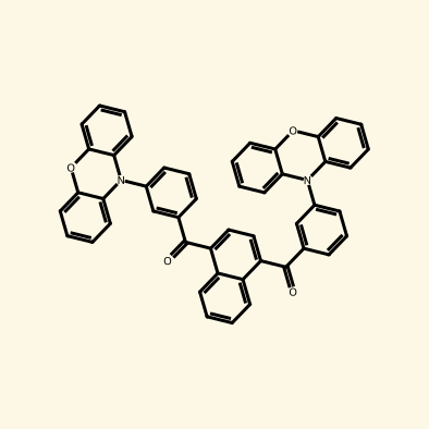 O=C(c1cccc(N2c3ccccc3Oc3ccccc32)c1)c1ccc(C(=O)c2cccc(N3c4ccccc4Oc4ccccc43)c2)c2ccccc12